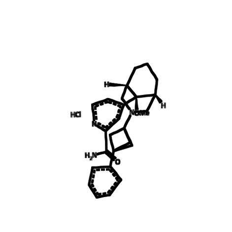 CO[C@]1(c2ccnc(C(N)=O)c2)[C@@H]2CCC[C@H]1CN(C13CC(c4ccccc4)(C1)C3)C2.Cl